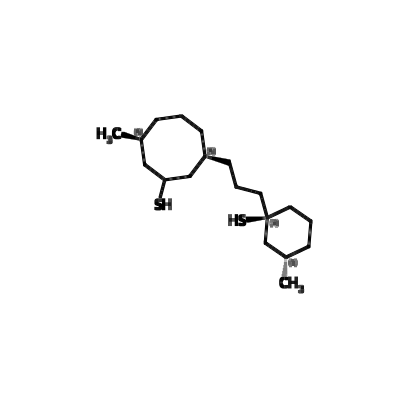 C[C@H]1CCC[C@@H](CCC[C@]2(S)CCC[C@H](C)C2)CC(S)C1